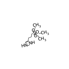 CCO[Si](CCCC1=CNCN1)(OCC)OCC